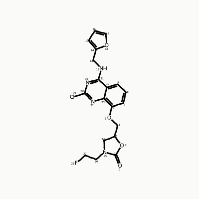 O=C1OC(COc2cccc3c(NCc4ccco4)nc(Cl)nc23)CN1CCF